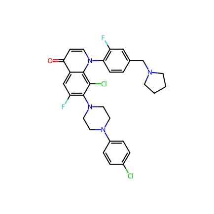 O=c1ccn(-c2ccc(CN3CCCC3)cc2F)c2c(Cl)c(N3CCN(c4ccc(Cl)cc4)CC3)c(F)cc12